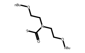 CCCCOCCN(CCOCCCC)C(=O)[S]